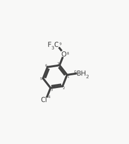 Bc1cc(Cl)ccc1OC(F)(F)F